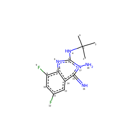 CC(C)(C)Nc1nc2c(F)cc(F)cc2c(=N)n1N